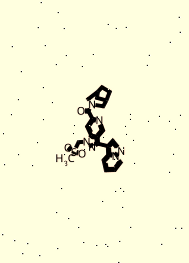 CS(=O)(=O)Cn1nc(-c2cnn3ccccc23)c2cnc(C(=O)N3CC4CCC(C4)C3)cc21